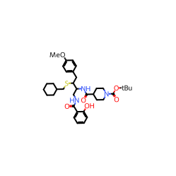 COc1ccc(CC(SCC2CCCCC2)C(CNC(=O)c2ccccc2O)NC(=O)C2CCN(C(=O)OC(C)(C)C)CC2)cc1